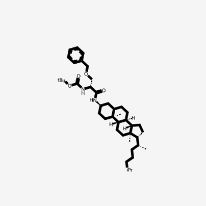 CC(C)CCC[C@@H](C)[C@H]1CC[C@H]2[C@@H]3CCC4C[C@H](NC(=O)[C@@H](COCc5ccccc5)NC(=O)OC(C)(C)C)CC[C@]4(C)[C@H]3CC[C@]12C